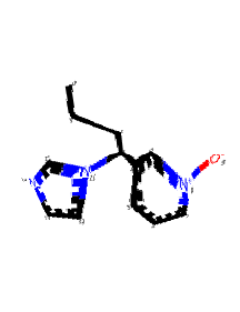 CCCC(c1ccc[n+]([O-])c1)n1ccnc1